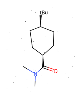 CN(C)C(=O)[C@H]1CC[C@@H](C(C)(C)C)CC1